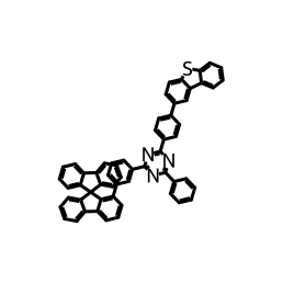 c1ccc(-c2nc(-c3ccc(-c4ccc5sc6ccccc6c5c4)cc3)nc(-c3cccc(-c4cccc5c4C4(c6ccccc6-c6ccccc64)c4ccccc4-5)c3)n2)cc1